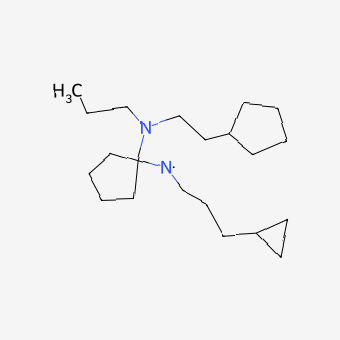 CCCN(CCC1CCCC1)C1([N]CCCC2CC2)CCCC1